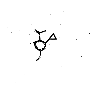 COc1ccc(C(C)=O)c(C2CC2)n1